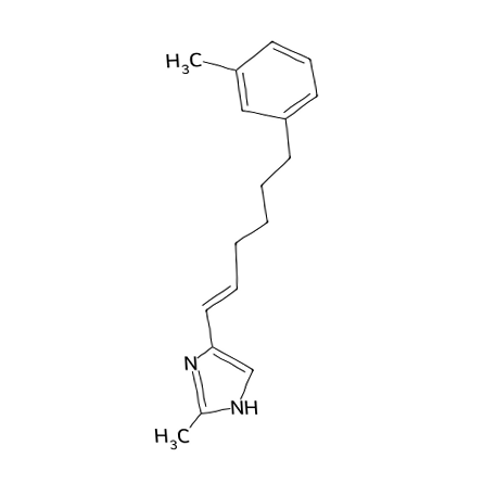 Cc1cccc(CCCCC=Cc2c[nH]c(C)n2)c1